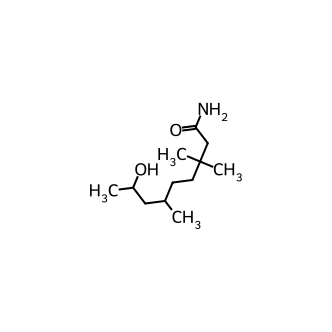 CC(O)CC(C)CCC(C)(C)CC(N)=O